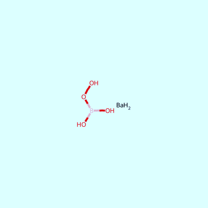 OOB(O)O.[BaH2]